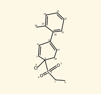 CCS(=O)(=O)C1(Cl)C=CC(c2ccccc2C)=CC1